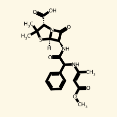 COC(=O)C=C(C)NC(C(=O)N[C@@H]1C(=O)N2[C@@H]1SC(C)(C)[C@@H]2C(=O)O)c1ccccc1